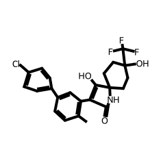 Cc1ccc(-c2ccc(Cl)cc2)cc1C1=C(O)C2(CCC(O)(C(F)(F)F)CC2)NC1=O